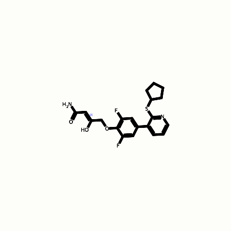 NC(=O)/C=C(\O)COc1c(F)cc(-c2cccnc2SC2CCCC2)cc1F